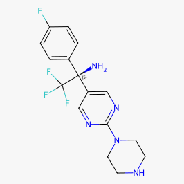 N[C@@](c1ccc(F)cc1)(c1cnc(N2CCNCC2)nc1)C(F)(F)F